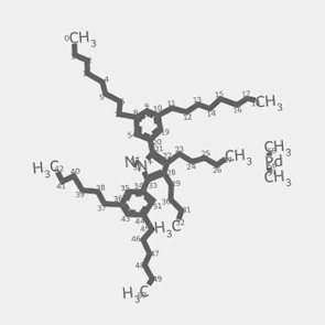 CCCCCCCCc1cc(CCCCCCCC)cc(C2=C(CCCCC)C(CCCC)=C(c3cc(CCCCCC)cc(CCCCCC)c3)[N+]2=[N-])c1.[CH3][Pd][CH3]